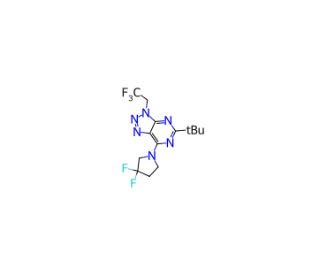 CC(C)(C)c1nc(N2CCC(F)(F)C2)c2nnn(CC(F)(F)F)c2n1